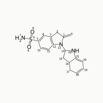 C=C1Cc2cc(S(N)(=O)=O)ccc2N1C1CC2CC=CC=C2N1